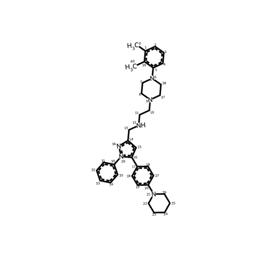 Cc1cccc(N2CCN(CCNCc3cc(-c4ccc(N5CCCCC5)cc4)n(-c4ccccc4)n3)CC2)c1C